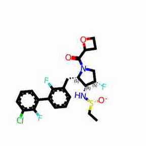 CC[S+]([O-])N[C@H]1[C@@H](F)CN(C(=O)C2CCO2)[C@H]1Cc1cccc(-c2cccc(Cl)c2F)c1F